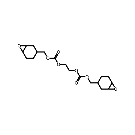 O=C(OCCOC(=O)OCC1CCC2OC2C1)OCC1CCC2OC2C1